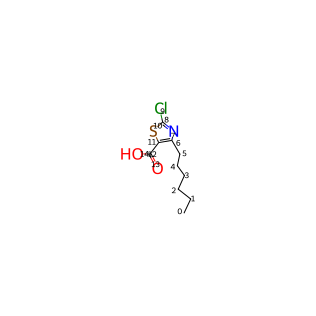 CCCCCCc1nc(Cl)sc1C(=O)O